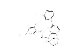 Cc1nn(C)cc1NC(=O)N1c2nc(-c3cccc(C(F)(F)F)c3)ccc2N2CC[C@H]1C2